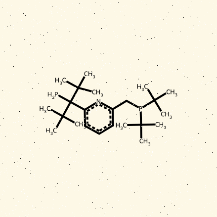 CC(C)(C)P(Cc1cccc(C(P)(C(C)(C)C)C(C)(C)C)n1)C(C)(C)C